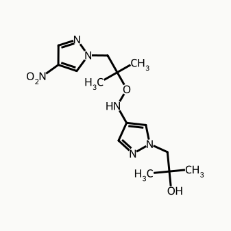 CC(C)(O)Cn1cc(NOC(C)(C)Cn2cc([N+](=O)[O-])cn2)cn1